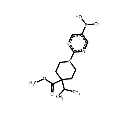 COC(=O)C1(C(C)C)CCN(c2ncc(B(O)O)cn2)CC1